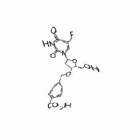 O=C(O)c1ccc(COC2C[C@@H](n3cc(F)c(=O)[nH]c3=O)O[C@H]2CO)cc1